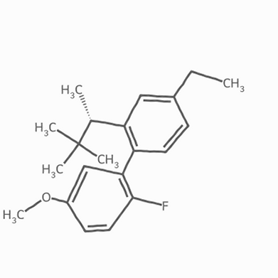 CCc1ccc(-c2cc(OC)ccc2F)c([C@@H](C)C(C)(C)C)c1